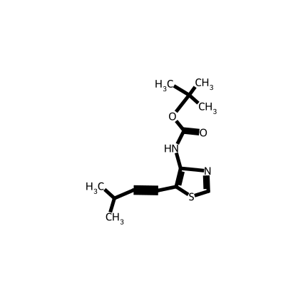 CC(C)C#Cc1scnc1NC(=O)OC(C)(C)C